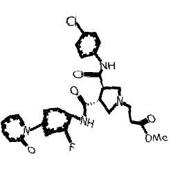 COC(=O)CCN1C[C@H](C(=O)Nc2ccc(Cl)cc2)[C@@H](C(=O)Nc2ccc(-n3ccccc3=O)cc2F)C1